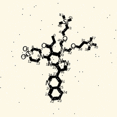 CCC(=O)c1c(N2CCS(=O)(=O)CC2)nc2c(-c3cnc4ccccc4c3)cnn2c1N(COCC[Si](C)(C)C)COCC[Si](C)(C)C